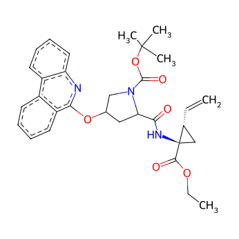 C=C[C@@H]1C[C@]1(NC(=O)C1CC(Oc2nc3ccccc3c3ccccc23)CN1C(=O)OC(C)(C)C)C(=O)OCC